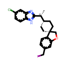 C[C@@H](c1nc2cc(Cl)ccc2[nH]1)[C@H]1CC[C@]2(CC1)COc1cc(CI)ccc12